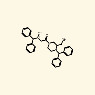 O=C(C[S+]([O-])C(c1ccccc1)c1ccccc1)N1CCN(C(c2ccccc2)c2ccccc2)C(CO)C1